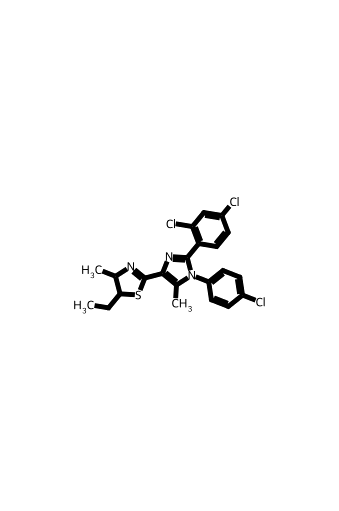 CCC1SC(c2nc(-c3ccc(Cl)cc3Cl)n(-c3ccc(Cl)cc3)c2C)=NC1C